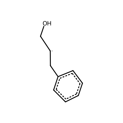 OC[CH]Cc1ccccc1